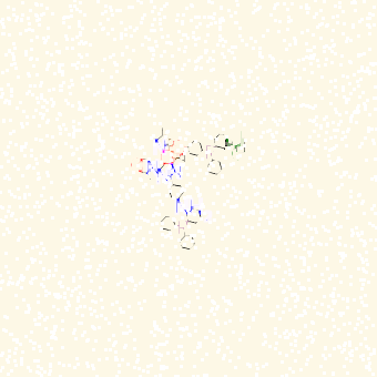 Cc1nc(S(=O)(=O)C2(c3cc(N4CCOC[C@@H]4C)nc(-c4ccc(N)cc4)n3)CC2)sc1C.[Cl][Pd][Cl].c1ccc(P(c2ccccc2)c2ccccc2)cc1.c1ccc(P(c2ccccc2)c2ccccc2)cc1